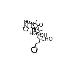 CC(=O)N(C(=O)[C@@H]1CCCN1)[C@@H](C)C(=O)N[C@@H](C)[Si](O)(O)C[C@H]([C]=O)CCc1ccccc1